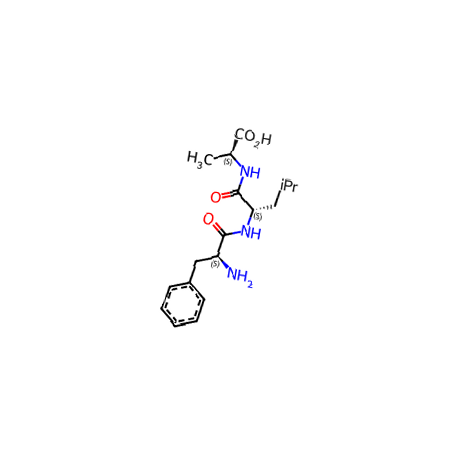 CC(C)C[C@H](NC(=O)[C@@H](N)Cc1ccccc1)C(=O)N[C@@H](C)C(=O)O